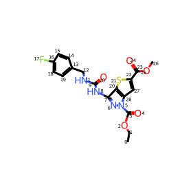 CCOC(=O)n1nc(NC(=O)NCc2ccc(F)cc2)c2sc(C(=O)OC)cc21